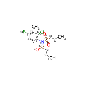 CCC[S+]([O-])N(c1ccc(F)c(C)c1Cl)S(=O)(=O)CCC